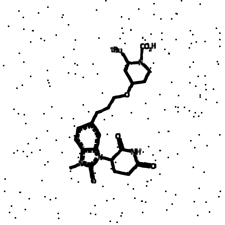 Cn1c(=O)n(C2CCC(=O)NC2=O)c2cc(CCCOC3CCN(C(=O)O)C(C(C)(C)C)C3)ccc21